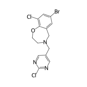 Clc1ncc(CN2CCOc3c(Cl)cc(Br)cc3C2)cn1